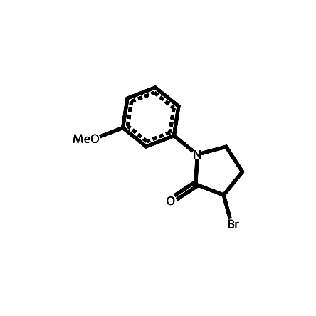 COc1cccc(N2CCC(Br)C2=O)c1